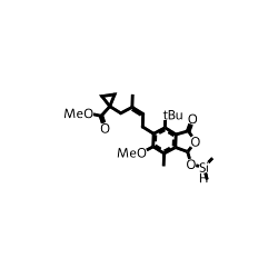 COC(=O)C1(CC(C)=CCc2c(OC)c(C)c3c(c2C(C)(C)C)C(=O)OC3O[SiH](C)C)CC1